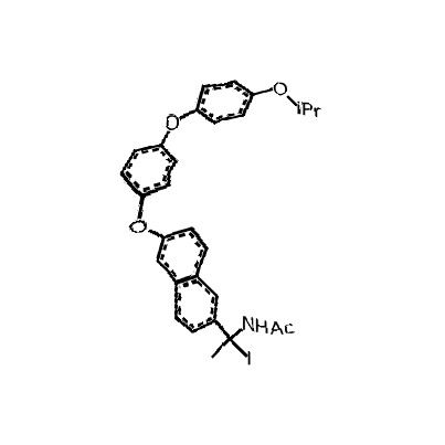 CC(=O)NC(C)(I)c1ccc2cc(Oc3ccc(Oc4ccc(OC(C)C)cc4)cc3)ccc2c1